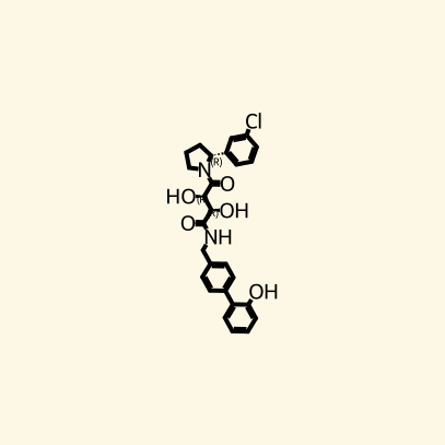 O=C(NCc1ccc(-c2ccccc2O)cc1)[C@H](O)[C@@H](O)C(=O)N1CCC[C@@H]1c1cccc(Cl)c1